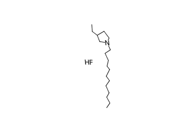 CCCCCCCCCCCCN1CCC(CC)C1.F